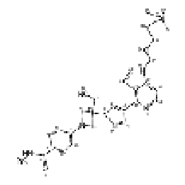 CC(C)NC(=O)c1ccc(N2CC(CC#N)(n3cc(-c4ncnc5c4ccn5COCC[Si](C)(C)C)cn3)C2)cc1